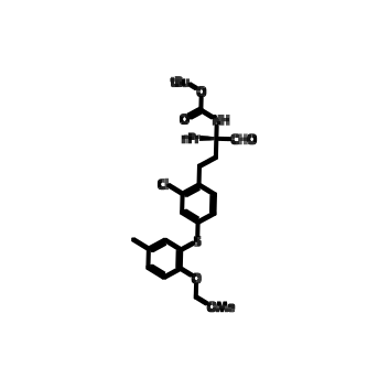 CCC[C@@](C=O)(CCc1ccc(Sc2cc(C)ccc2OCOC)cc1Cl)NC(=O)OC(C)(C)C